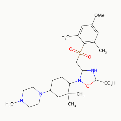 COc1cc(C)c(S(=O)(=O)CC2NC(C(=O)O)ON2C2CCC(N3CCN(C)CC3)CC2(C)C)c(C)c1